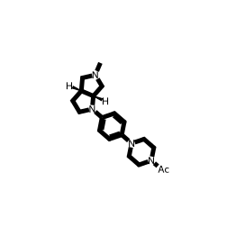 CC(=O)N1CCN(c2ccc(N3CC[C@@H]4CN(C)C[C@@H]43)cc2)CC1